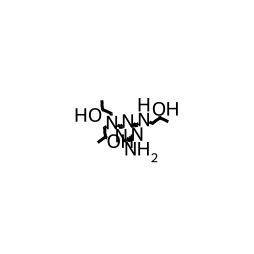 CC(O)CNc1nc(N)nc(N(CC(C)O)CC(C)O)n1